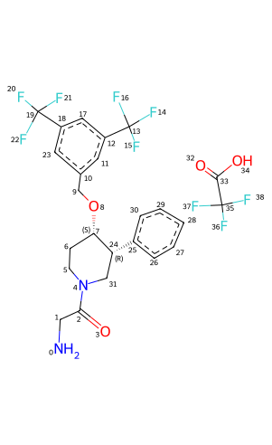 NCC(=O)N1CC[C@H](OCc2cc(C(F)(F)F)cc(C(F)(F)F)c2)[C@H](c2ccccc2)C1.O=C(O)C(F)(F)F